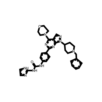 O=C(Nc1ccc(-c2nc(N3CCOCC3)c3cnn(C4CCN(Cc5ccccc5)CC4)c3n2)cc1)Nc1ncc[nH]1